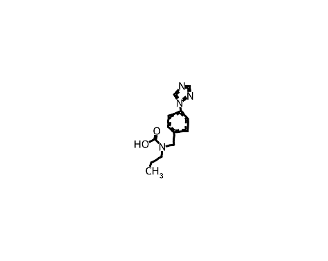 CCCN(Cc1ccc(-n2cncn2)cc1)C(=O)O